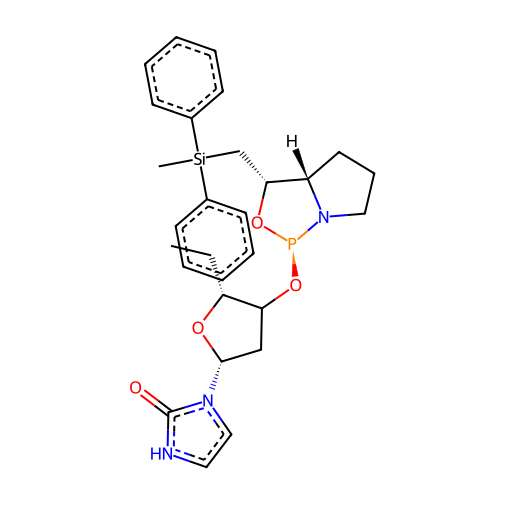 CC[C@H]1O[C@@H](n2cc[nH]c2=O)CC1O[P@@]1O[C@H](C[Si](C)(c2ccccc2)c2ccccc2)[C@@H]2CCCN21